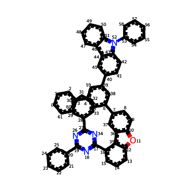 c1ccc(-c2cc(-c3ccc4oc5cccc(-c6nc(-c7ccccc7)nc(-c7ccccc7)n6)c5c4c3)cc(-c3ccc4c(c3)c3ccccc3n4-c3ccccc3)c2)cc1